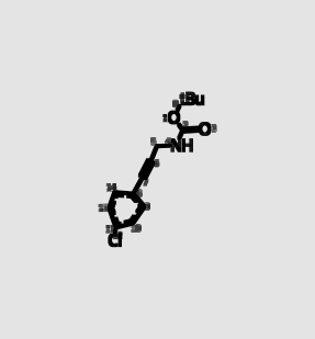 CC(C)(C)OC(=O)NCC#Cc1ccc(Cl)cc1